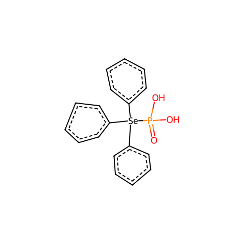 O=P(O)(O)[Se](c1ccccc1)(c1ccccc1)c1ccccc1